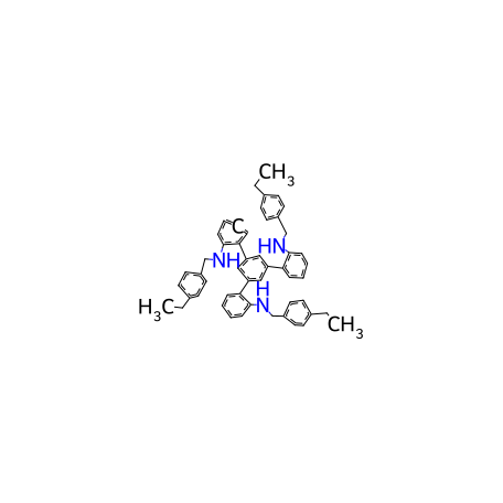 CCc1ccc(CNc2ccccc2-c2cc(-c3ccccc3NCc3ccc(CC)cc3)cc(-c3ccccc3NCc3ccc(CC)cc3)c2)cc1